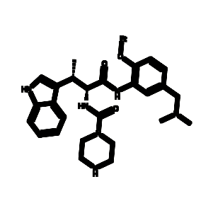 CCOc1ccc(CN(C)C)cc1NC(=O)[C@H](NC(=O)N1CCNCC1)[C@@H](C)c1c[nH]c2ccccc12